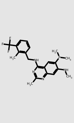 CNc1cc2nc(C)nc(NCc3cccc(C(F)(F)F)c3C)c2cc1P(C)C